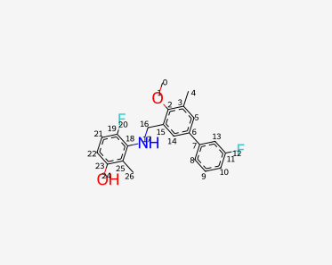 COc1c(C)cc(-c2cccc(F)c2)cc1CNc1c(F)ccc(O)c1C